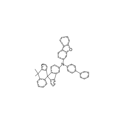 CC1(C)c2ccccc2C2(c3ccccc3-c3cc(N(c4ccc(-c5ccccc5)cc4)c4ccc5c(c4)oc4ccccc45)ccc32)c2ccccc21